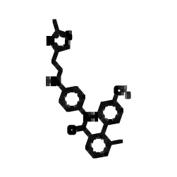 Cc1nc(CCNc2ccc(NC(=O)c3cccc(C)c3-c3ccc(C(F)(F)F)cc3)cc2)cs1